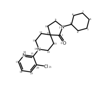 O=C1N(C2CCCCC2)CCC12CCN(c1ncccc1Cl)CC2